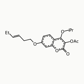 CCC=CCCOc1ccc2c(OC(C)C)c(OC(C)=O)c(=O)oc2c1